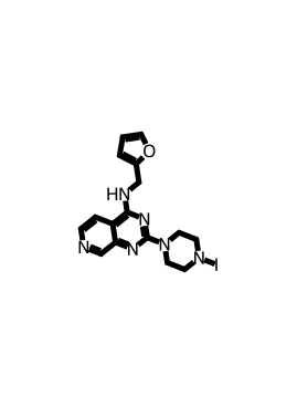 IN1CCN(c2nc(NCc3ccco3)c3ccncc3n2)CC1